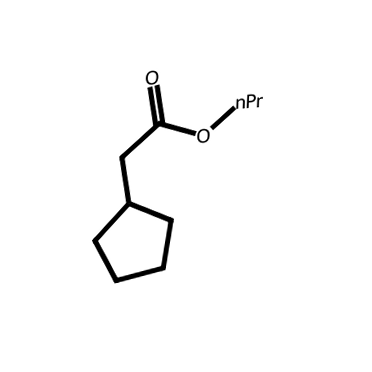 [CH2]CCOC(=O)CC1CCCC1